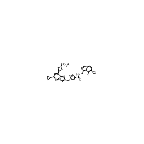 O=C(NCc1ncn2ccc(Cl)c(F)c12)c1cn(Cc2cn3nc(C4CC4)cc(N4CC(C(=O)O)C4)c3n2)nn1